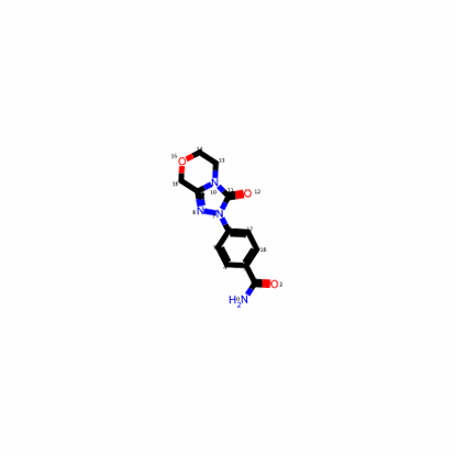 NC(=O)c1ccc(-n2nc3n(c2=O)CCOC3)cc1